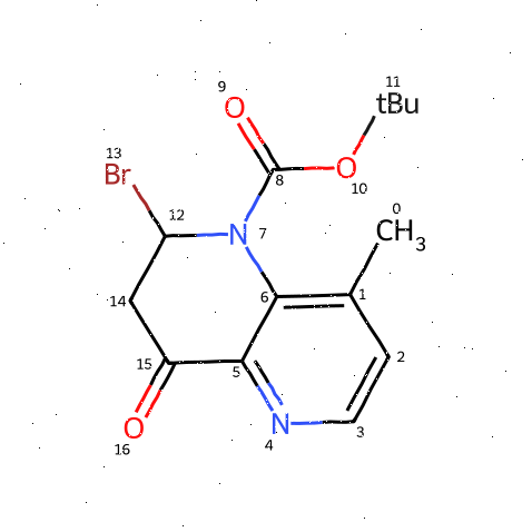 Cc1ccnc2c1N(C(=O)OC(C)(C)C)C(Br)CC2=O